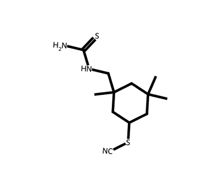 CC1(C)CC(SC#N)CC(C)(CNC(N)=S)C1